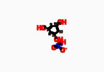 O=[N+]([O-])O.Oc1cc(O)cc(O)c1